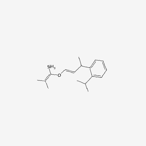 CC(C)=C([SiH3])OC=CC(C)c1ccccc1C(C)C